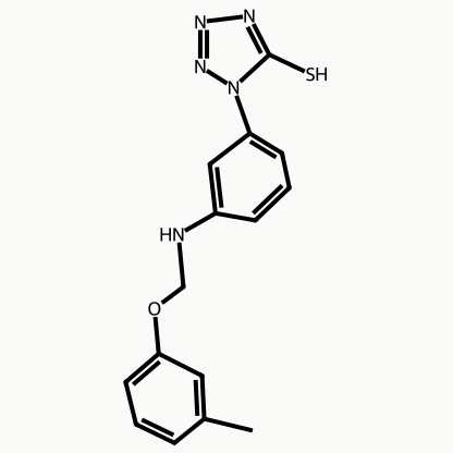 Cc1cccc(OCNc2cccc(-n3nnnc3S)c2)c1